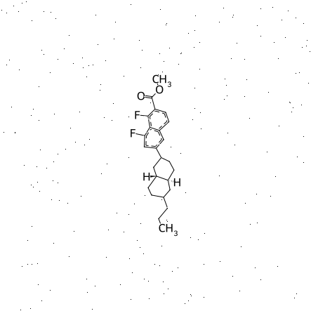 CCCC1CC[C@@H]2CC(c3cc(F)c4c(F)c(C(=O)OC)ccc4c3)CC[C@H]2C1